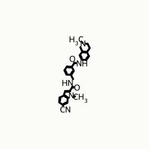 CN1CCc2ccc(NC(=O)c3cccc(CNC(=O)c4cc5ccc(C#N)cc5n4C)c3)cc2C1